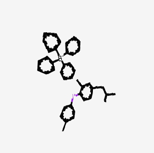 Cc1ccc([I+]c2ccc(CC(C)C)cc2C)cc1.c1ccc([B-](c2ccccc2)(c2ccccc2)c2ccccc2)cc1